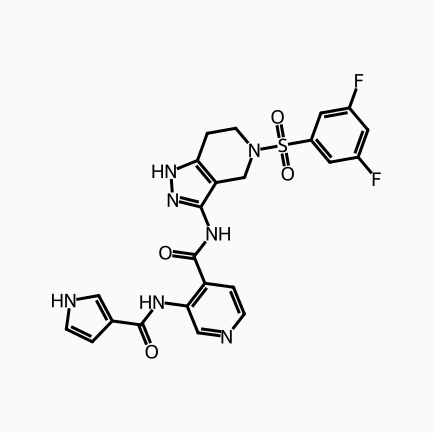 O=C(Nc1cnccc1C(=O)Nc1n[nH]c2c1CN(S(=O)(=O)c1cc(F)cc(F)c1)CC2)c1cc[nH]c1